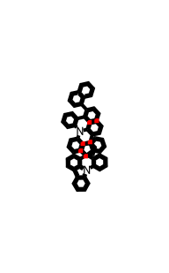 c1ccc(-c2ccccc2N(c2ccccc2-c2ccccc2-c2cccc3ccccc23)c2cccc3c2-c2ccccc2C32c3ccccc3-n3c4ccccc4c4cccc2c43)cc1